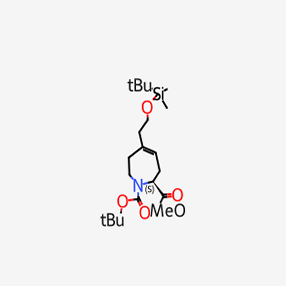 COC(=O)[C@@H]1CC=C(CCO[Si](C)(C)C(C)(C)C)CCN1C(=O)OC(C)(C)C